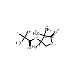 CCC(C)(I)C(=O)OC1(C)COC(=O)C1(C)C